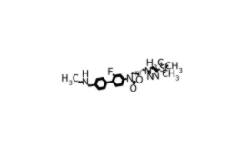 CCNCc1ccc(-c2ccc(N3C[C@H](Cn4cc([Si](C)(C)C)nn4)OC3=O)cc2F)cc1